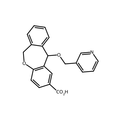 O=C(O)c1ccc2c(c1)C(OCc1cccnc1)c1ccccc1CO2